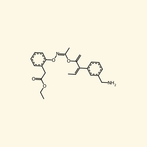 C=C(O/C(C)=N\Oc1ccccc1CC(=O)OCC)/C(=C\C)c1cccc(CN)c1